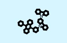 c1ccc(-c2c3ccccc3c(-c3cccc(-n4c5ccccc5c5cc(-n6c7ccccc7c7ccccc76)ccc54)c3)c3ccccc23)cc1